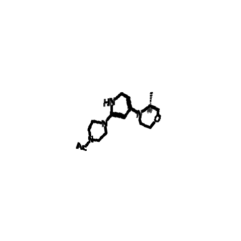 CC(=O)N1CCN(C2=CC(N3CCOC[C@H]3C)=CCN2)CC1